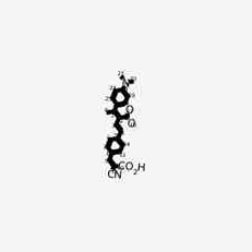 Cc1c(/C=C/c2ccc(/C=C(/C#N)C(=O)O)cc2)c(=O)oc2cc(N(C)C)ccc12